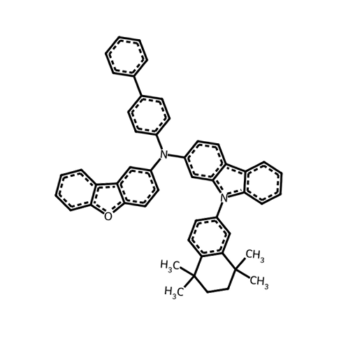 CC1(C)CCC(C)(C)c2cc(-n3c4ccccc4c4ccc(N(c5ccc(-c6ccccc6)cc5)c5ccc6oc7ccccc7c6c5)cc43)ccc21